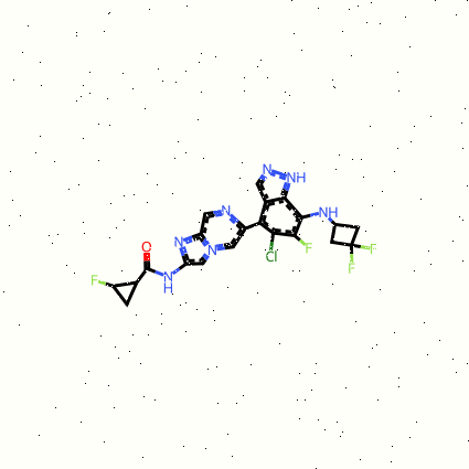 O=C(Nc1cn2cc(-c3c(Cl)c(F)c(NC4CC(F)(F)C4)c4[nH]ncc34)ncc2n1)C1CC1F